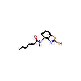 CC=CC=CC(=O)Nc1cccc2sc(S)nc12